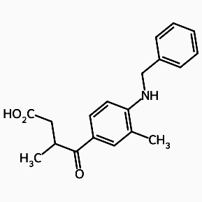 Cc1cc(C(=O)C(C)CC(=O)O)ccc1NCc1ccccc1